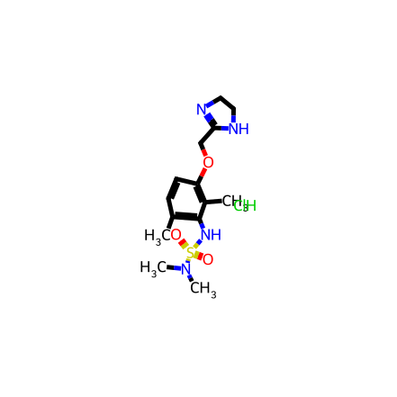 Cc1ccc(OCC2=NCCN2)c(C)c1NS(=O)(=O)N(C)C.Cl